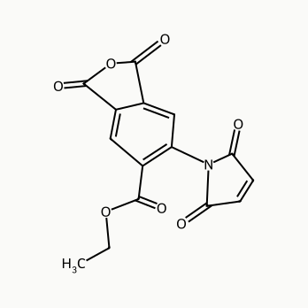 CCOC(=O)c1cc2c(cc1N1C(=O)C=CC1=O)C(=O)OC2=O